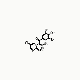 C=C1N=CC(Cl)=CN1C(C(=O)c1cc(Br)c(O)c(Br)c1)=C(CC)CC